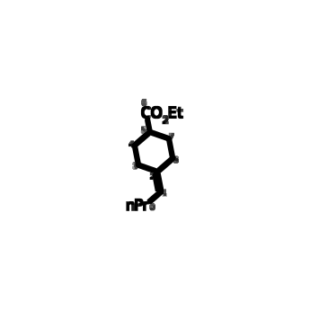 CCCC=C1CCC(C(=O)OCC)CC1